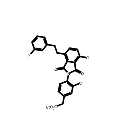 CCOC(=O)Cc1ccc(N2C(=O)c3c(Cl)ccc(CCc4cccc(F)c4)c3C2=O)c(Cl)c1